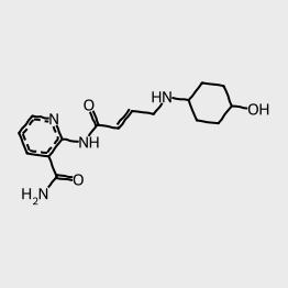 NC(=O)c1cccnc1NC(=O)C=CCNC1CCC(O)CC1